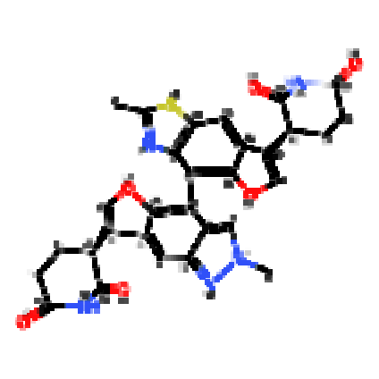 Cc1nc2c(-c3c4cn(C)nc4cc4c([C@@H]5CCC(=O)NC5=O)coc34)c3occ([C@@H]4CCC(=O)NC4=O)c3cc2s1